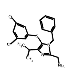 CC(C)c1nc(CN)n(Cc2ccccc2)c1Sc1cc(Cl)cc(Cl)c1